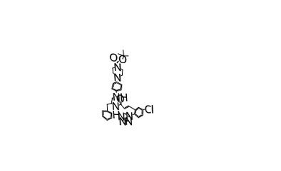 CC(C)(C)OC(=O)N1CCN(c2ccc(NCC(Cc3ccccc3)NC(=O)C=Cc3cc(Cl)ccc3-n3cnnn3)cc2)CC1